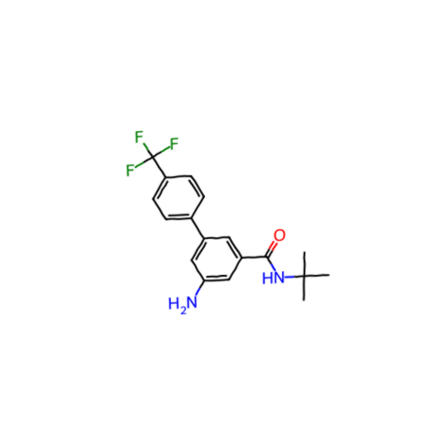 CC(C)(C)NC(=O)c1cc(N)cc(-c2ccc(C(F)(F)F)cc2)c1